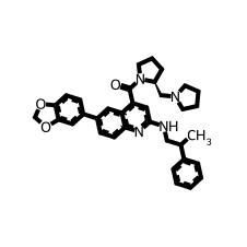 CC(CNc1cc(C(=O)N2CCC[C@H]2CN2CCCC2)c2cc(-c3ccc4c(c3)OCO4)ccc2n1)c1ccccc1